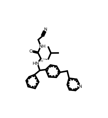 CC(C)C[C@H](NC(c1ccccc1)c1ccc(Cc2cccnc2)cc1)C(=O)NCC#N